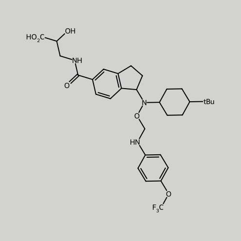 CC(C)(C)C1CCC(N(OCNc2ccc(OC(F)(F)F)cc2)C2CCc3cc(C(=O)NCC(O)C(=O)O)ccc32)CC1